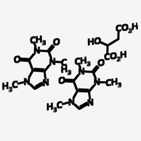 Cn1c(=O)c2c(ncn2C)n(C)c1=O.Cn1c(=O)c2c(ncn2C)n(C)c1=O.O=C(O)CC(O)C(=O)O